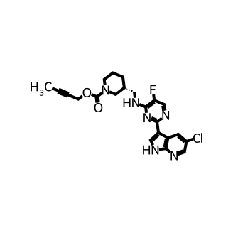 CC#CCOC(=O)N1CCC[C@H](CNc2nc(-c3c[nH]c4ncc(Cl)cc34)ncc2F)C1